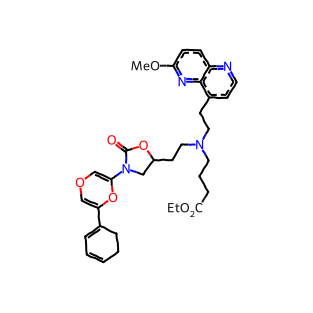 CCOC(=O)CCCN(CCc1ccnc2ccc(OC)nc12)CCC1CN(C2=COC=C(C3=CC=CCC3)O2)C(=O)O1